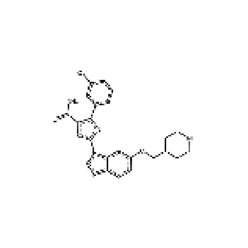 NC(=O)c1sc(-n2cnc3ccc(OCC4CCNCC4)cc32)nc1-c1cccc(Cl)c1